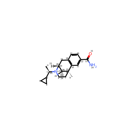 C[C@H](C1CC1)N1CC[C@]2(C)c3cc(C(N)=O)ccc3C[C@@H]1[C@@H]2C